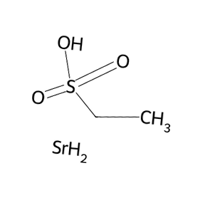 CCS(=O)(=O)O.[SrH2]